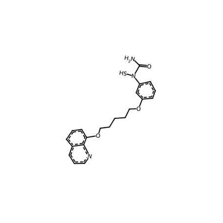 NC(=O)N(S)c1cccc(OCCCCCOc2cccc3cccnc23)c1